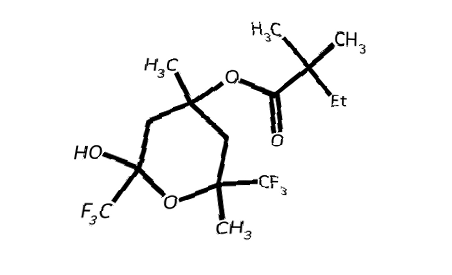 CCC(C)(C)C(=O)OC1(C)CC(C)(C(F)(F)F)OC(O)(C(F)(F)F)C1